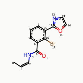 C/C=C\NC(=O)c1cccc(-c2ncco2)c1Br